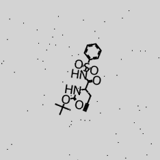 C#CCC(NC(=O)OC(C)(C)C)C(=O)NS(=O)(=O)c1ccccc1